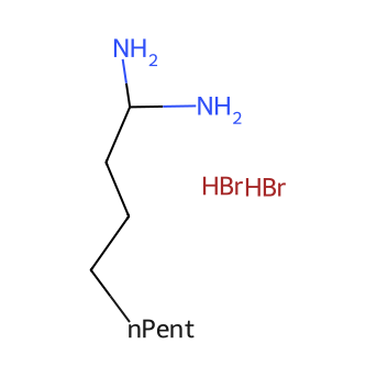 Br.Br.CCCCCCCCC(N)N